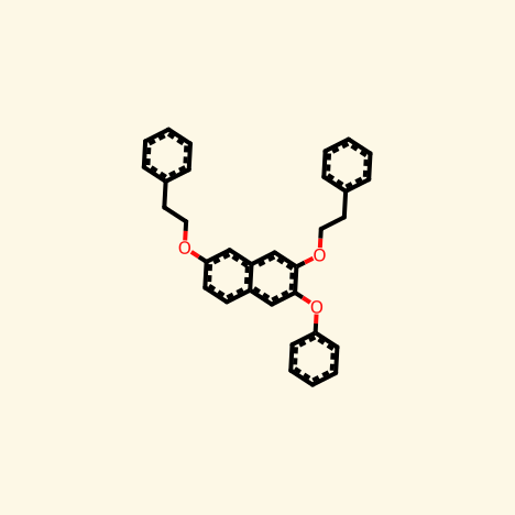 c1ccc(CCOc2ccc3cc(Oc4ccccc4)c(OCCc4ccccc4)cc3c2)cc1